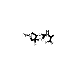 CC(NC(=O)O[C@H]1CN(C(C)C)CC1(F)F)C(F)F